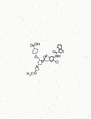 COC1CN([C@H]2CC(CO[C@H]3CC[C@H](C(=O)O)CC3)N(C(=O)Cc3cc(Cl)c(NC(=O)c4csc5ccccc45)cc3F)C2)C1